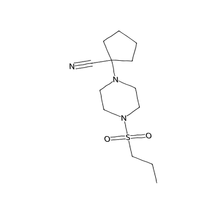 CCCS(=O)(=O)N1CCN(C2(C#N)CCCC2)CC1